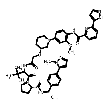 COc1cc(N2CCC[C@H](OCC(=O)N[C@H](C(=O)N3CCC[C@H]3C(=O)N[C@@H](C)c3ccc(-c4ccnn4C)cc3)C(C)(C)C)C2)ccc1NC(=O)c1cccc(-c2ccn[nH]2)n1